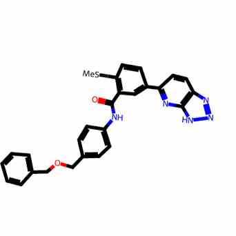 CSc1ccc(-c2ccc3nn[nH]c3n2)cc1C(=O)Nc1ccc(COCc2ccccc2)cc1